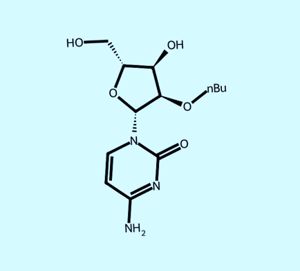 CCCCO[C@@H]1[C@H](O)[C@@H](CO)O[C@H]1n1ccc(N)nc1=O